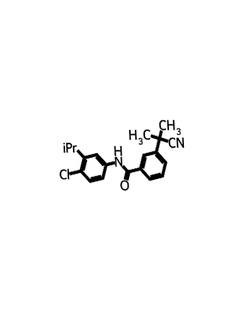 CC(C)c1cc(NC(=O)c2cccc(C(C)(C)C#N)c2)ccc1Cl